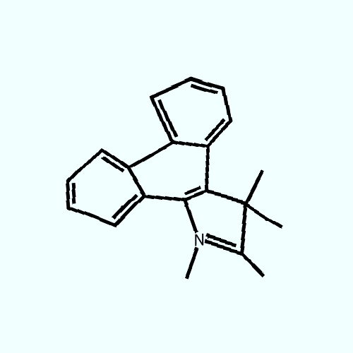 CC1=[N+](C)c2c(c3ccccc3c3ccccc23)C1(C)C